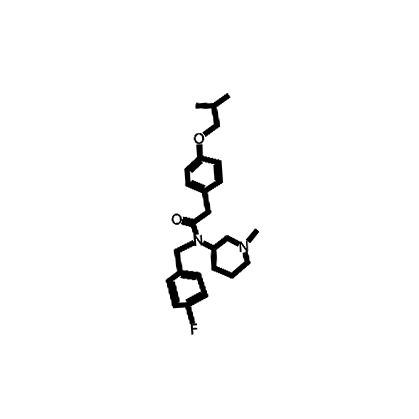 CC(C)COc1ccc(CC(=O)N(Cc2ccc(F)cc2)C2CCCN(C)C2)cc1